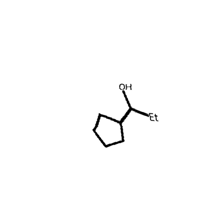 [CH2]CC(O)C1CCCC1